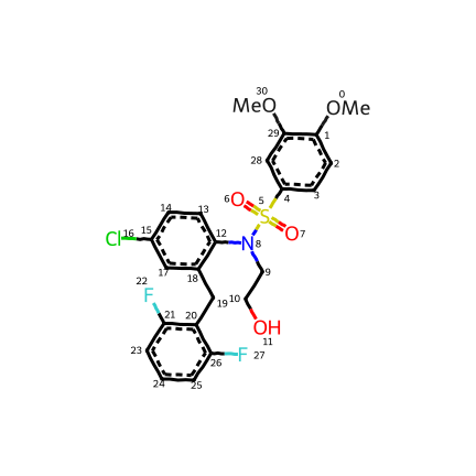 COc1ccc(S(=O)(=O)N(CCO)c2ccc(Cl)cc2Cc2c(F)cccc2F)cc1OC